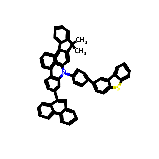 CC1(C)c2ccccc2-c2ccc(N(c3ccc(-c4ccc5sc6ccccc6c5c4)cc3)c3cc(-c4cc5ccccc5c5ccccc45)ccc3-c3ccccc3)cc21